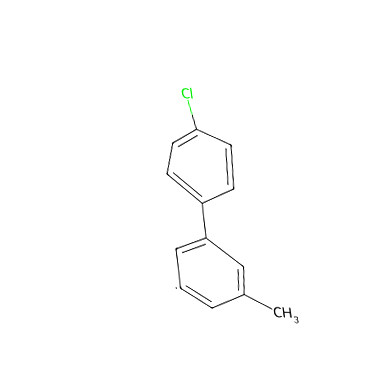 Cc1c[c]cc(-c2ccc(Cl)cc2)c1